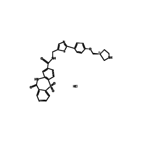 Cl.O=C(NCc1cnc(-c2ccc(OC[C@H]3CCNC3)cc2)s1)c1ccc2c(c1)NC(=O)c1ccccc1S2(=O)=O